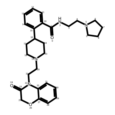 O=C(NCCN1CCCC1)c1ccccc1C1CCN(CCN2C(=O)COc3ccccc32)CC1